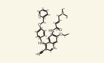 CCOc1cc2ncc(C#N)c(Nc3ccc(OCc4ccccn4)cc3)c2cc1NC(=O)C=CCN(C)C